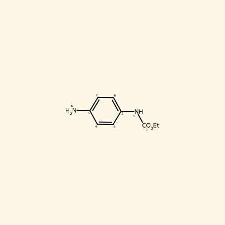 C[CH]OC(=O)Nc1ccc(N)cc1